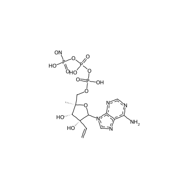 C=C[C@]1(O)C(n2cnc3c(N)ncnc32)O[C@](C)(COP(=O)(O)OP(=O)(O)OP(=O)(O)N=O)[C@H]1O